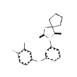 COc1cc(Oc2cccc(N3C(=O)NC4(CCCC4)C3=O)n2)ccc1C